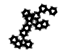 c1ccc(-c2cccc(-c3nc(-c4ccccc4)nc(-c4c(-n5c6ccccc6c6cc7ccc(-n8c9ccccc9c9ccc%10ccccc%10c98)cc7cc65)ccc5ccccc45)n3)c2)cc1